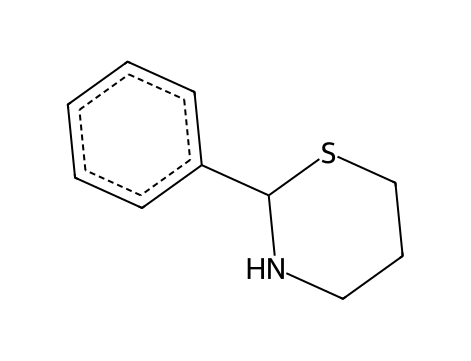 c1ccc(C2NCCCS2)cc1